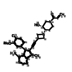 C=CC(=O)N1CC[C@H](N2CC(C#Cc3c(-c4ccc(Cl)c(OC)c4)c4c(N)ncnc4n3C)C2)[C@H](O)C1